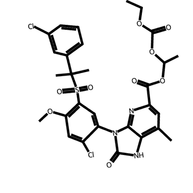 CCOC(=O)OC(C)OC(=O)c1cc(C)c2[nH]c(=O)n(-c3cc(S(=O)(=O)C(C)(C)c4cccc(Cl)c4)c(OC)cc3Cl)c2n1